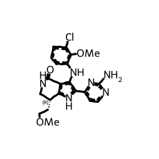 COCC[C@@H]1CNC(=O)c2c1[nH]c(-c1ccnc(N)n1)c2Nc1cccc(Cl)c1OC